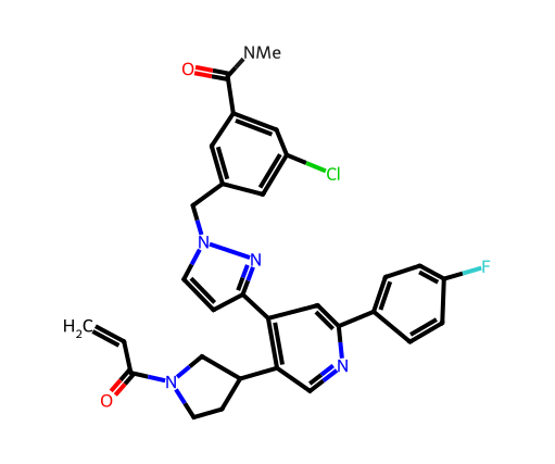 C=CC(=O)N1CCC(c2cnc(-c3ccc(F)cc3)cc2-c2ccn(Cc3cc(Cl)cc(C(=O)NC)c3)n2)C1